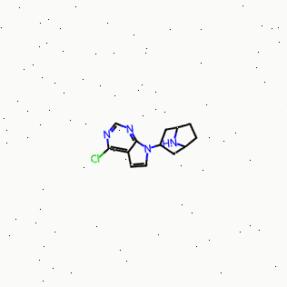 Clc1ncnc2c1ccn2C1CC2CCC(C1)N2